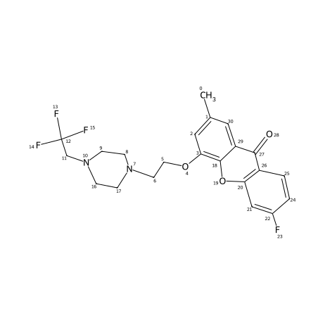 Cc1cc(OCCN2CCN(CC(F)(F)F)CC2)c2oc3cc(F)ccc3c(=O)c2c1